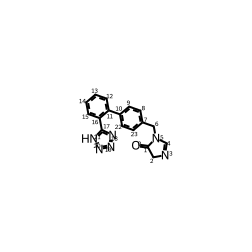 O=C1CN=CN1Cc1ccc(-c2ccccc2-c2nnn[nH]2)cc1